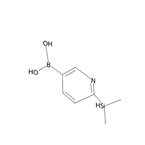 C[SiH](C)c1ccc(B(O)O)cn1